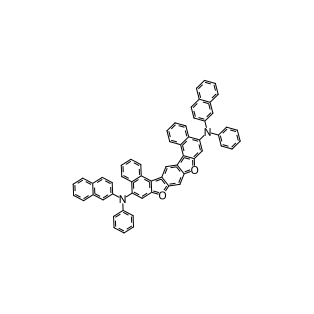 c1ccc(N(c2ccc3ccccc3c2)c2cc3oc4cc5oc6cc(N(c7ccccc7)c7ccc8ccccc8c7)c7ccccc7c6c5cc4c3c3ccccc23)cc1